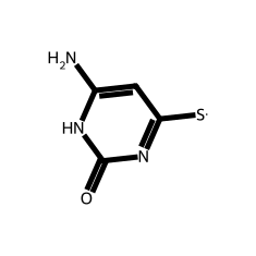 Nc1cc([S])nc(=O)[nH]1